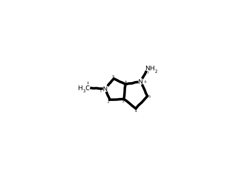 CN1CC2CCN(N)C2C1